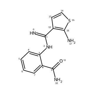 N=C(Nc1ccccc1C(N)=O)c1ccsc1N